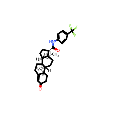 C[C@]12CC[C@H]3[C@@H](CCC4=CC(=O)CC[C@@]43C)[C@@H]1CC[C@@H]2C(=O)Nc1ccc(C(F)(F)F)cc1